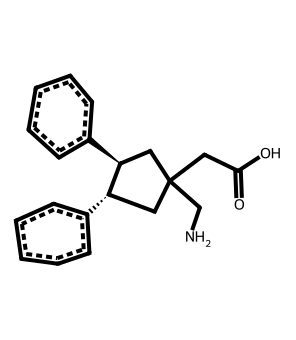 NCC1(CC(=O)O)C[C@H](c2ccccc2)[C@@H](c2ccccc2)C1